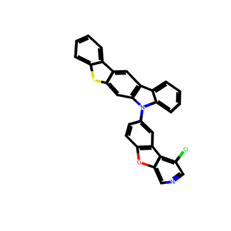 Clc1cncc2oc3ccc(-n4c5ccccc5c5cc6c(cc54)sc4ccccc46)cc3c12